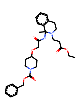 CCOC(=O)CCN1CCc2ccccc2C1(C)NC(=O)COC1CCN(C(=O)OCc2ccccc2)CC1